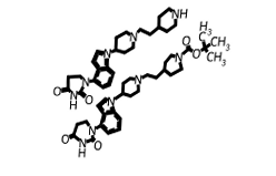 CC(C)(C)OC(=O)N1CCC(CCN2CCC(n3ccc4c(N5CCC(=O)NC5=O)cccc43)CC2)CC1.O=C1CCN(c2cccc3c2ccn3C2CCN(CCC3CCNCC3)CC2)C(=O)N1